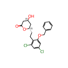 O=C1C[C@@H](O)C[C@H](CCc2c(Cl)cc(Cl)cc2OCc2ccccc2)O1